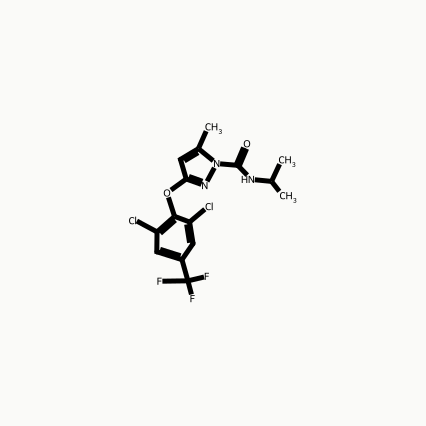 Cc1cc(Oc2c(Cl)cc(C(F)(F)F)cc2Cl)nn1C(=O)NC(C)C